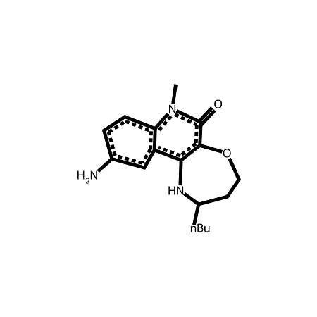 CCCCC1CCOc2c(c3cc(N)ccc3n(C)c2=O)N1